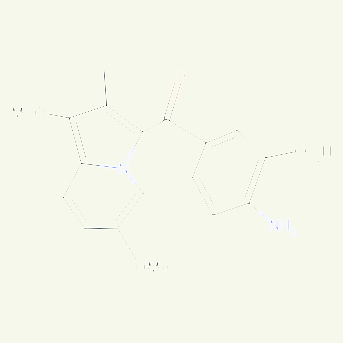 COc1ccc2c(OC)c(C)c(C(=O)c3ccc(N)c(C(=O)O)c3)n2c1